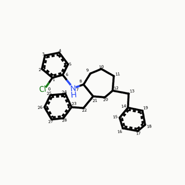 Clc1ccccc1NC1CCCC(Cc2ccccc2)CC1Cc1ccccc1